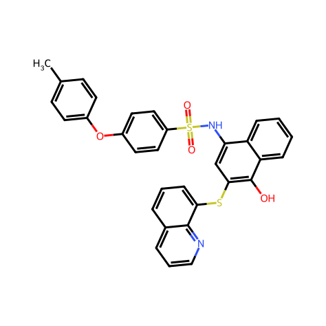 Cc1ccc(Oc2ccc(S(=O)(=O)Nc3cc(Sc4cccc5cccnc45)c(O)c4ccccc34)cc2)cc1